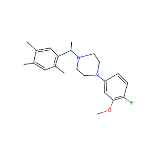 COc1cc(N2CCN(C(C)c3cc(C)c(C)cc3C)CC2)ccc1Br